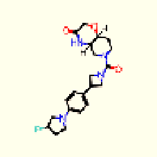 O=C1CO[C@H]2CCN(C(=O)N3CC(c4ccc(N5CCC(F)C5)cc4)C3)C[C@H]2N1